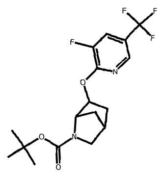 CC(C)(C)OC(=O)N1CC2CC(Oc3ncc(C(F)(F)F)cc3F)C1C2